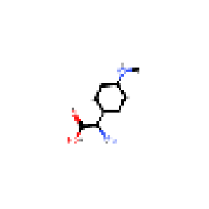 CN[C@H]1CC[C@@H](C(N)C(=O)O)CC1